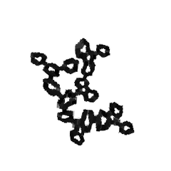 c1ccc(-c2cc(-c3ccccc3)cc(-c3cccc(-c4nc(-c5cccc(-n6c7ccccc7c7cc(-c8ccc9c(c8)c8ccccc8n9-c8ccccc8)ccc76)c5)nc(-n5c6ccccc6c6cc(-c7ccc8c(c7)c7ccccc7n8-c7ccccc7)ccc65)n4)c3)c2)cc1